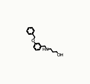 OCCCNCc1cccc(OCc2ccccc2)c1